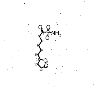 NS(=O)(=O)C(=O)CCCCCC1CCOO1